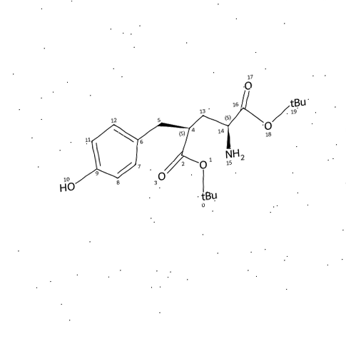 CC(C)(C)OC(=O)[C@@H](Cc1ccc(O)cc1)C[C@H](N)C(=O)OC(C)(C)C